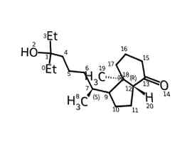 CCC(O)(CC)CCC[C@H](C)C1CC[C@H]2C(=O)CCC[C@]12C